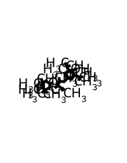 CC#CC(C)(OC1CC(C)(C)N(C)C(C)(C)C1)C(C)Cc1cc(C(C)(C)C)c(O)c(C(C)(C)C)c1